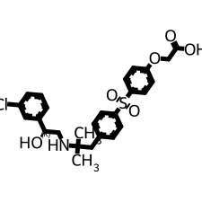 CC(C)(Cc1ccc(S(=O)(=O)c2ccc(OCC(=O)O)cc2)cc1)NC[C@H](O)c1cccc(Cl)c1